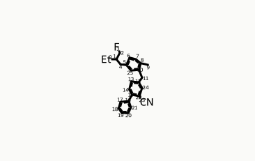 CCC(CF)Cc1ccc(C)c(Cc2ccc(-c3ccccc3)c(C#N)c2)c1